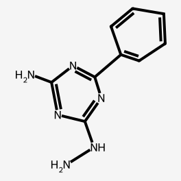 NNc1nc(N)nc(-c2ccccc2)n1